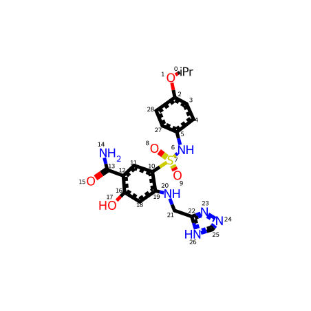 CC(C)Oc1ccc(NS(=O)(=O)c2cc(C(N)=O)c(O)cc2NCc2nnc[nH]2)cc1